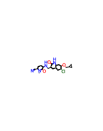 Cn1c(C#N)ccc(NCc2cc3cc(Cl)c(OCC4CC4)cc3[nH]c2=O)c1=O